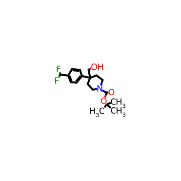 CC(C)(C)OC(=O)N1CCC(CO)(c2ccc(C(F)F)cc2)CC1